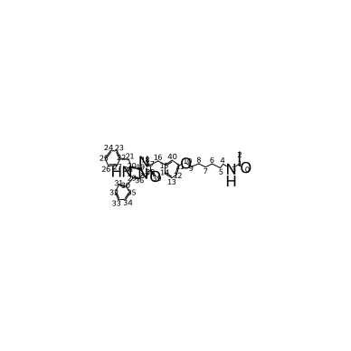 O=C(I)NCCCCCCOc1cccc(Cc2nc3c(Cc4ccccc4)[nH]c(-c4ccccc4)cn-3c2=O)c1